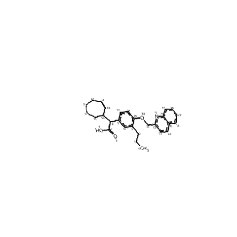 CCCc1cc(C(C(=O)O)C2CCCCCC2)ccc1OCc1ccc2ccccc2n1